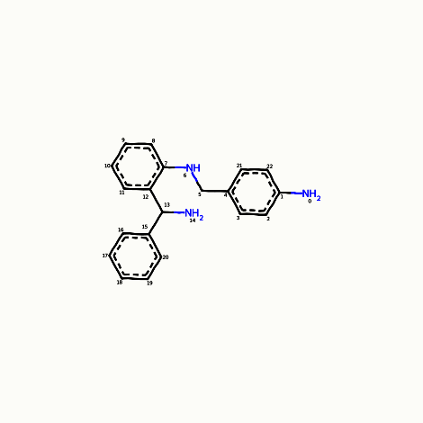 Nc1ccc(CNc2ccccc2C(N)c2ccccc2)cc1